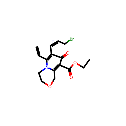 C=Cc1c(/C=C\CBr)c(=O)c(C(=O)OCC)c2n1CCOC2